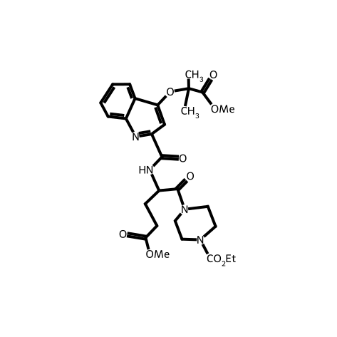 CCOC(=O)N1CCN(C(=O)C(CCC(=O)OC)NC(=O)c2cc(OC(C)(C)C(=O)OC)c3ccccc3n2)CC1